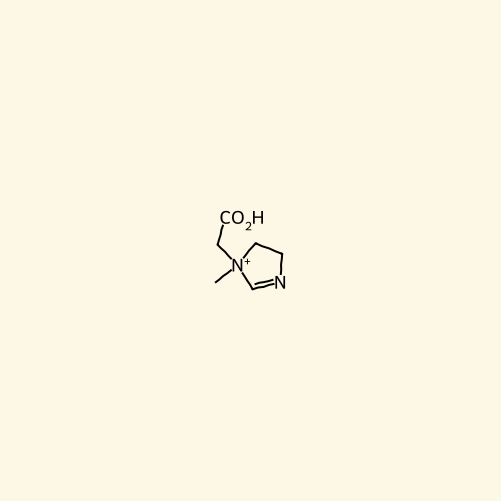 C[N+]1(CC(=O)O)C=NCC1